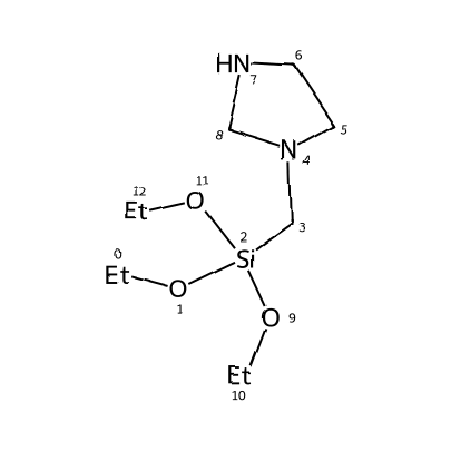 CCO[Si](CN1CCNC1)(OCC)OCC